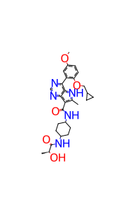 COc1ccc(OCC2CC2)c(-c2ncnc3c(C(=O)NC4CCC(NC(=O)[C@H](C)O)CC4)c(C)[nH]c23)c1